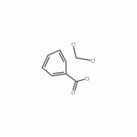 ClCCl.O=C(Cl)c1ccccc1